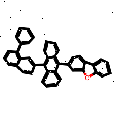 c1ccc(-c2cccc3ccc(-c4c5ccccc5c(-c5ccc6c(c5)oc5ccccc56)c5ccccc45)cc23)cc1